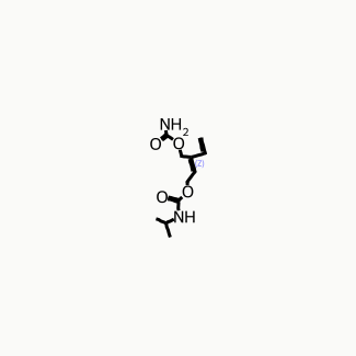 C=C/C(=C/COC(=O)NC(C)C)COC(N)=O